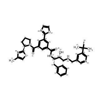 Cc1csc([C@H]2CCCN2C(=O)c2cc(C(=O)N[C@@H](Cc3ccccc3)[C@H](O)CNCc3cncc(C(C)(C)F)c3)cc(-c3ncco3)c2)n1